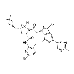 CC(=O)c1nn(CC(=O)N2[C@H](C(=O)Nc3nc(Br)ccc3C)C[C@@]3(CN4CC(C)(C)C4)C[C@@H]23)c2c(C)nc(-c3cnc(C)nc3)cc12